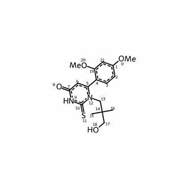 COc1ccc(-c2cc(=O)[nH]c(=S)n2CC(C)(C)CO)c(OC)c1